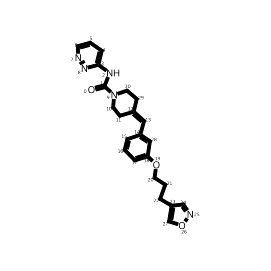 O=C(Nc1cccnn1)N1CCC(=Cc2cccc(OCCCc3cnoc3)c2)CC1